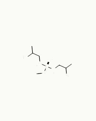 CC(Br)COP(=S)(OCl)OCC(C)Br